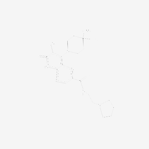 COC1(C)CCN(c2c(C#N)c(=O)[nH]c3ccc(C(=O)NCCN4CCCC4)nc23)CC1